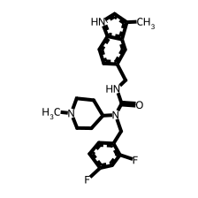 Cc1c[nH]c2ccc(CNC(=O)N(Cc3ccc(F)cc3F)C3CCN(C)CC3)cc12